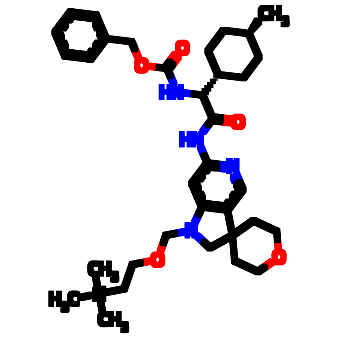 C[Si](C)(C)CCOCN1CC2(CCOCC2)c2cnc(NC(=O)C(NC(=O)OCc3ccccc3)[C@H]3CC[C@H](C)CC3)cc21